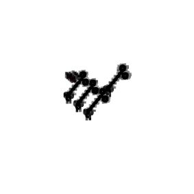 [Ni+2].[Ni+2].[Ni+2].[Ni+2].[Ni+2].[Ni+2].[O-][PH]([O-])([O-])CCCCCCCCCC(c1ccccc1)c1ccccc1.[O-][PH]([O-])([O-])CCCCCCCCCC(c1ccccc1)c1ccccc1.[O-][PH]([O-])([O-])CCCCCCCCCC(c1ccccc1)c1ccccc1.[O-][PH]([O-])([O-])CCCCCCCCCC(c1ccccc1)c1ccccc1